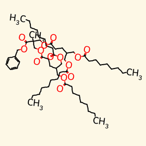 CCCCCCCCC(=O)OCC(CCC(=O)OCC(C)(COC(=O)CCC(COC(=O)CCCCCCCC)COC(=O)CCCCCCCC)C(=O)OCc1ccccc1)COC(=O)CCCCCCCC